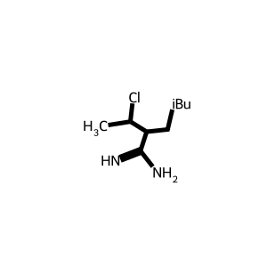 CCC(C)CC(C(=N)N)C(C)Cl